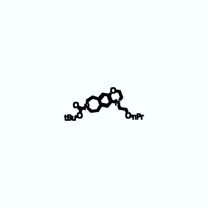 CCCOCCN1CCOc2cc3c(cc21)CCN(C(=O)OC(C)(C)C)CC3